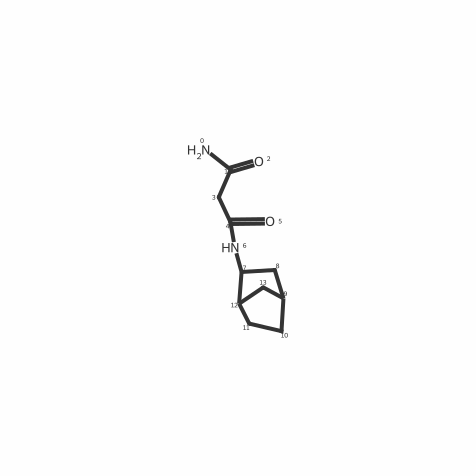 NC(=O)CC(=O)NC1CC2CCC1C2